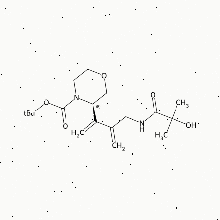 C=C(CNC(=O)C(C)(C)O)C(=C)[C@@H]1COCCN1C(=O)OC(C)(C)C